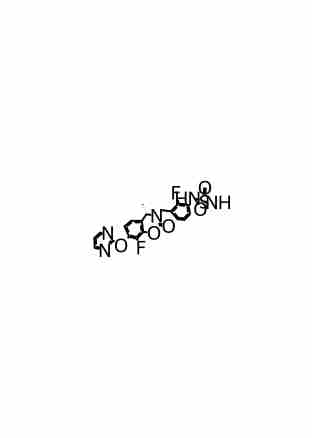 CNS(=O)(=O)Nc1cccc(CN2C(=O)Oc3c(ccc(Oc4ncccn4)c3F)[C@@H]2C)c1F